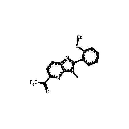 CCSc1ccccc1-c1nc2ccc(C(=O)C(F)(F)F)nc2n1C